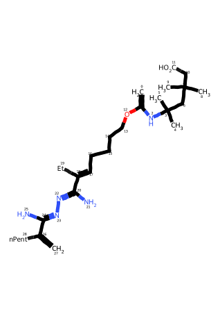 C=C(NC(C)(C)CC(C)(C)CC(=O)O)OCCCC/C=C(CC)/C(N)=N/N=C(\N)C(=C)CCCCC